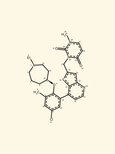 CCN1CCC[C@H](Oc2c(C)cc(Cl)cc2-c2ccnc3cc(Cn4c(=O)ccn(C)c4=O)sc23)CC1